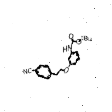 CC(C)(C)OC(=O)Nc1cccc(OCCc2ccc(C#N)cc2)c1